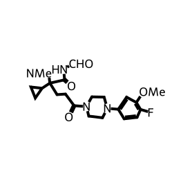 CNC(CCC(=O)N1CCN(c2ccc(F)c(OC)c2)CC1)(C(=O)NC=O)C1CC1